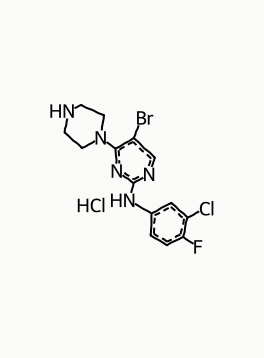 Cl.Fc1ccc(Nc2ncc(Br)c(N3CCNCC3)n2)cc1Cl